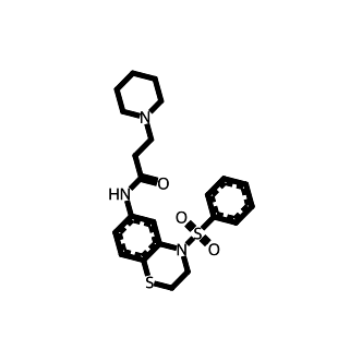 O=C(CCN1CCCCC1)Nc1ccc2c(c1)N(S(=O)(=O)c1ccccc1)CCS2